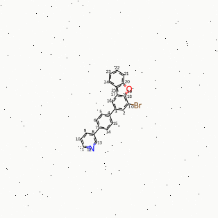 Brc1cc(-c2ccc(-c3cccnc3)cc2)cc2c1oc1ccccc12